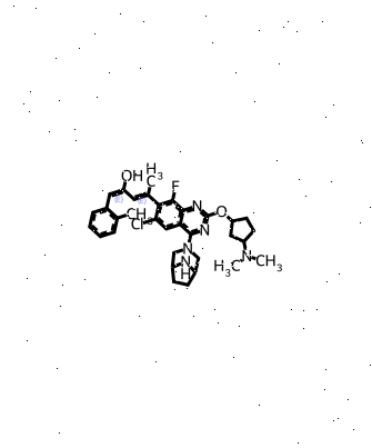 C/C(=C\C(O)=C/c1ccccc1C)c1c(Cl)cc2c(N3CC4CCC(C3)N4)nc(OC3CCC(N(C)C)C3)nc2c1F